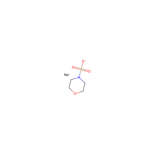 O=S(=O)([O-])N1CCOCC1.[Na+]